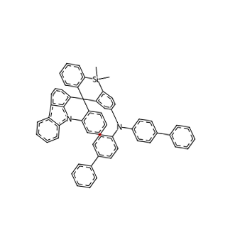 C[Si]1(C)c2ccccc2C2(c3ccccc3-n3c4ccccc4c4cccc2c43)c2cc(N(c3ccc(-c4ccccc4)cc3)c3ccc(-c4ccccc4)cc3)ccc21